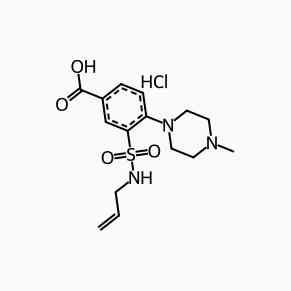 C=CCNS(=O)(=O)c1cc(C(=O)O)ccc1N1CCN(C)CC1.Cl